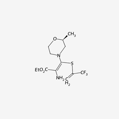 C=C(S/C(=C(\N)C(=O)OCC)N1CCO[C@@H](C)C1)C(F)(F)F